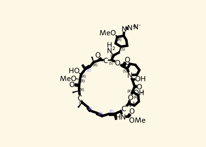 COC(=O)NC1C[C@@H]2CC[C@@H](C)[C@@](O)(O2)C(=O)C(O)N2CCCC[C@H]2C(=O)O[C@H]([C@H](N)C[C@@H]2CCC(N=[N+]=[N-])[C@H](OC)C2)CC(=O)[C@H](C)/C=C(\C)[C@@H](O)[C@@H](OC)C(=O)[C@H](C)C[C@H](C)/C=C/C=C/C=C/1C